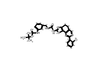 CC(C)(C)OC(=O)Nc1cccc(CNC(=O)Nc2nc3c(s2)-c2nc(-c4ccccc4Cl)ncc2CC3)c1